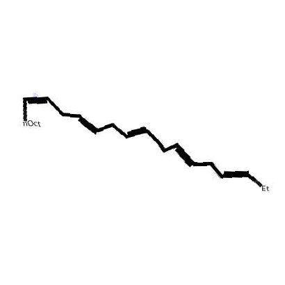 [CH2]CCCCCCC/C=C\CC=CCC=CCC=CCC=CCC